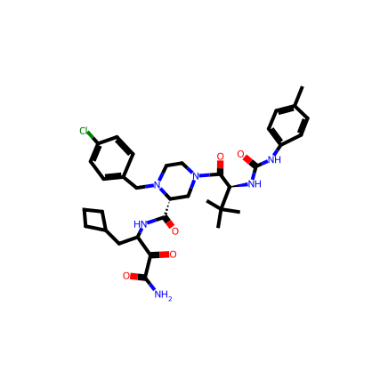 Cc1ccc(NC(=O)N[C@H](C(=O)N2CCN(Cc3ccc(Cl)cc3)[C@@H](C(=O)NC(CC3CCC3)C(=O)C(N)=O)C2)C(C)(C)C)cc1